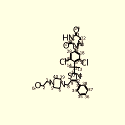 COCCN1CCN(Cc2sc(C(C)(C)c3c(Cl)cc(-n4ncc(=O)[nH]c4=O)cc3Cl)nc2-c2ccccc2)CC1